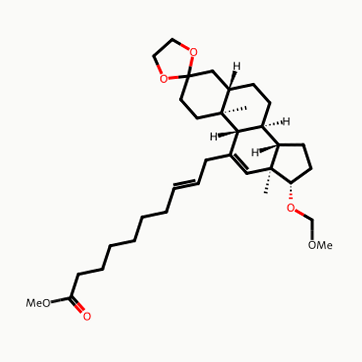 COCO[C@H]1CC[C@H]2[C@@H]3CC[C@H]4CC5(CC[C@]4(C)[C@H]3C(C/C=C/CCCCCCC(=O)OC)=C[C@]12C)OCCO5